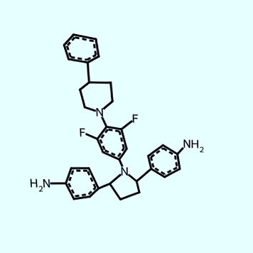 Nc1ccc(C2CCC(c3ccc(N)cc3)N2c2cc(F)c(N3CCC(c4ccccc4)CC3)c(F)c2)cc1